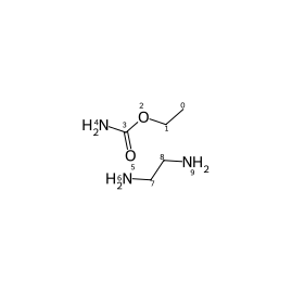 CCOC(N)=O.NCCN